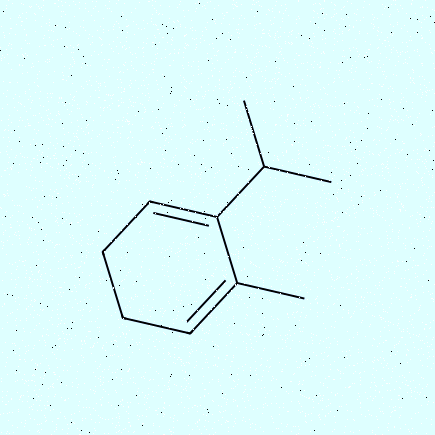 CC1=CCCC=C1C(C)C